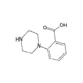 O=C(O)c1ccccc1N1CCNCC1